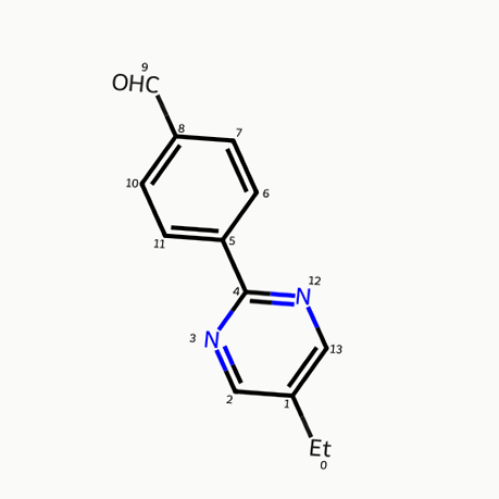 CCc1cnc(-c2ccc(C=O)cc2)nc1